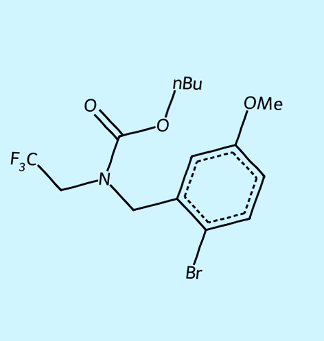 CCCCOC(=O)N(Cc1cc(OC)ccc1Br)CC(F)(F)F